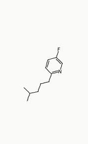 CC(C)CCCc1ccc(F)cn1